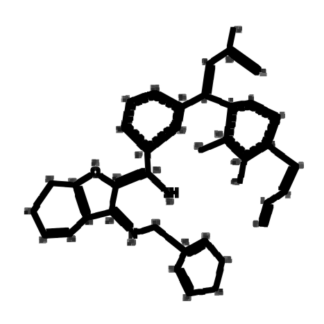 C=C/C=C\c1ccc(/C(=C\C(=C)C)c2cccc(/C(S)=C3\OC4=C(C=CCC4)\C3=N\CC3=CCCC=C3)c2)c(C)c1C